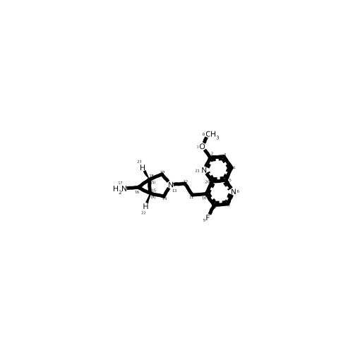 COc1ccc2ncc(F)c(CCN3C[C@@H]4C(N)[C@@H]4C3)c2n1